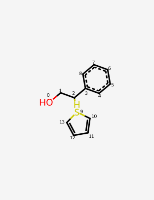 OCC(c1ccccc1)[SH]1C=CC=C1